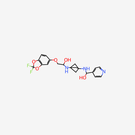 OC(COc1ccc2c(c1)OC(F)(F)O2)NC12CC(NC(O)c3ccncc3)(C1)C2